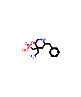 NCC1(CP(=O)(O)O)CCNC(Cc2ccccc2)C1